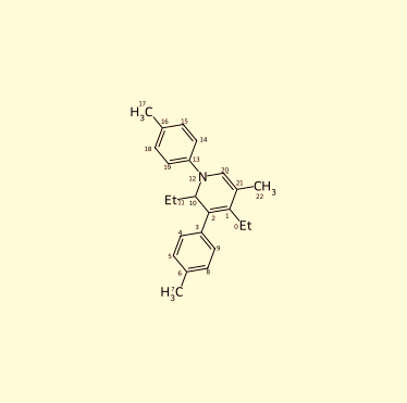 CCC1=C(c2ccc(C)cc2)C(CC)N(c2ccc(C)cc2)[C]=C1C